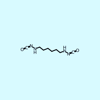 O=C=NNCCCCCCNN=C=O